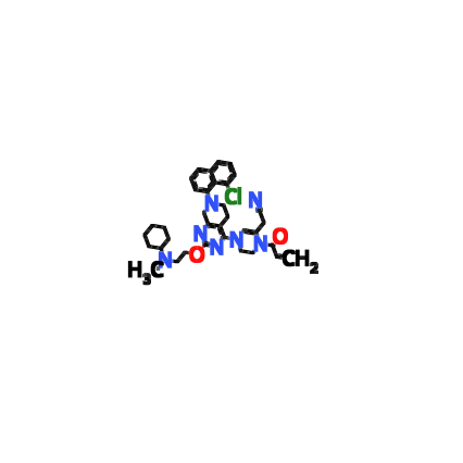 C=CC(=O)N1CCN(c2nc(OCCN(C)C3CCCCC3)nc3c2CCN(c2cccc4cccc(Cl)c24)C3)C=C1CC#N